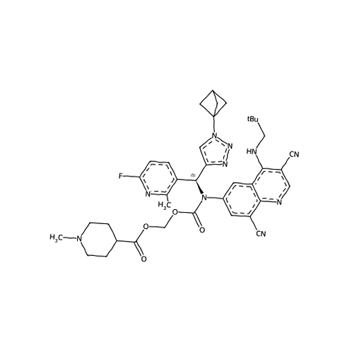 Cc1nc(F)ccc1[C@@H](c1cn(C23CC(C2)C3)nn1)N(C(=O)OCOC(=O)C1CCN(C)CC1)c1cc(C#N)c2ncc(C#N)c(NCC(C)(C)C)c2c1